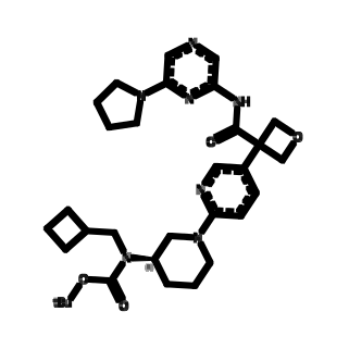 CC(C)(C)OC(=O)N(CC1CCC1)[C@@H]1CCCN(c2ccc(C3(C(=O)Nc4cncc(N5CCCC5)n4)COC3)cn2)C1